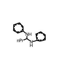 [CH2]CCC(Nc1ccccc1)Nc1ccccc1